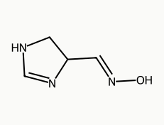 ON=CC1CNC=N1